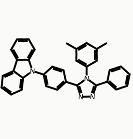 Cc1cc(C)cc(-n2c(-c3ccccc3)nnc2-c2ccc(-n3c4ccccc4c4ccccc43)cc2)c1